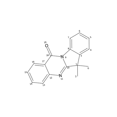 CC1(C)c2ccccc2-n2c1nc1ccccc1c2=O